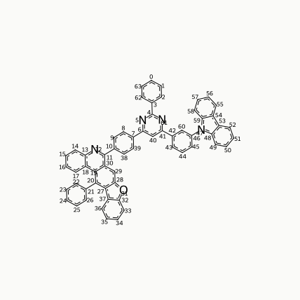 c1ccc(-c2nc(-c3ccc(-c4nc5ccccc5c5c(-c6ccccc6)c6c(cc45)oc4ccccc46)cc3)cc(-c3cccc(-n4c5ccccc5c5ccccc54)c3)n2)cc1